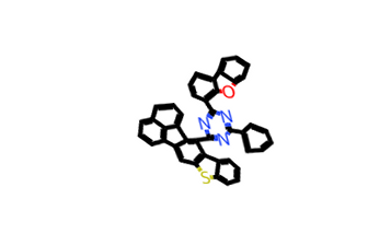 c1ccc(-c2nc(-c3cccc4c3oc3ccccc34)nc(-c3c4c(cc5sc6ccccc6c35)-c3cccc5cccc-4c35)n2)cc1